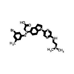 Cc1cc(Br)cc(SN(CC(=O)O)c2ccc3c(ccn3-c3cnc(NCCN(C)C)cn3)c2)c1